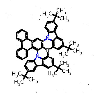 CC(C)(C)c1ccc2c(c1)c1cc(C(C)(C)C)cc3c1n2-c1cc2c4ccccc4c4ccccc4c2c2c1B3c1cc(C(C)(C)C)cc3c4cc(C(C)(C)C)ccc4n-2c13